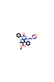 CCOC(=O)c1c(C)nc2c(c(NCCN3CCOCC3)nc(=O)n2-c2ccccc2)c1-c1ccccc1